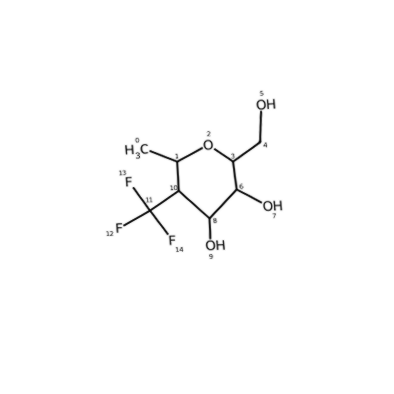 CC1OC(CO)C(O)C(O)C1C(F)(F)F